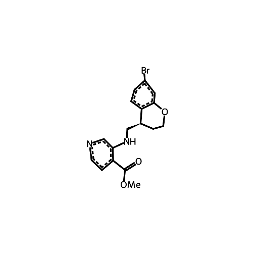 COC(=O)c1ccncc1NC[C@@H]1CCOc2cc(Br)ccc21